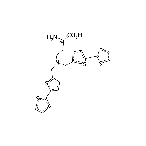 N[C@@H](CCN(Cc1ccc(-c2cccs2)s1)Cc1ccc(-c2cccs2)s1)C(=O)O